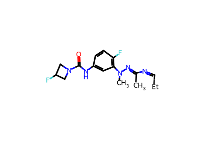 CC/C=N\C(C)=N\N(C)c1cc(NC(=O)N2CC(F)C2)ccc1F